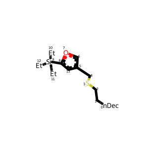 CCCCCCCCCCCCSCc1coc([Si](CC)(CC)CC)c1